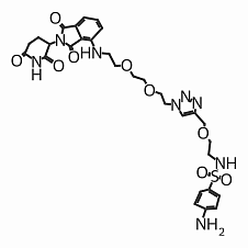 Nc1ccc(S(=O)(=O)NCCOCc2cn(CCOCCOCCNc3cccc4c3C(=O)N(C3CCC(=O)NC3=O)C4=O)nn2)cc1